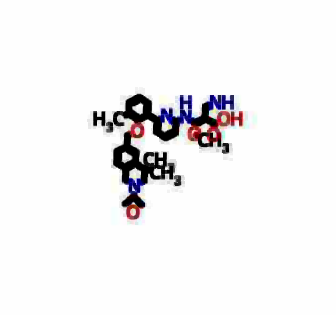 CO/C(Nc1cccc(-c2cccc(C)c2OCc2ccc3c(c2)C(C)(C)CN(C2COC2)C3)n1)=C(/C=N)C(=O)O